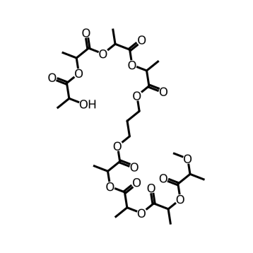 COC(C)C(=O)OC(C)C(=O)OC(C)C(=O)OC(C)C(=O)OCCCOC(=O)C(C)OC(=O)C(C)OC(=O)C(C)OC(=O)C(C)O